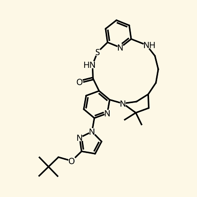 CC(C)(C)COc1ccn(-c2ccc3c(n2)N2CC(CCCNc4cccc(n4)SNC3=O)CC2(C)C)n1